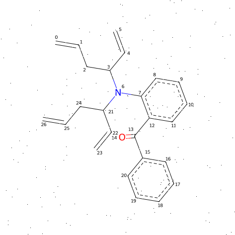 C=CCC(C=C)N(c1ccccc1C(=O)c1ccccc1)C(C=C)CC=C